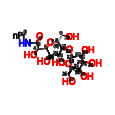 CCCNC(=O)C(O)C1O[C@H](CO)[C@@H](OC2O[C@H](CO)[C@H](O)[C@H](O)[C@H]2O)[C@H](O)[C@H]1O